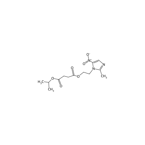 Cc1ncc([N+](=O)[O-])n1CCOC(=O)CCC(=O)OC(C)C